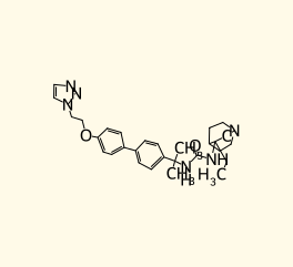 CCC1(NC(=O)NC(C)(C)c2ccc(-c3ccc(OCCn4ccnn4)cc3)cc2)CN2CCC1CC2